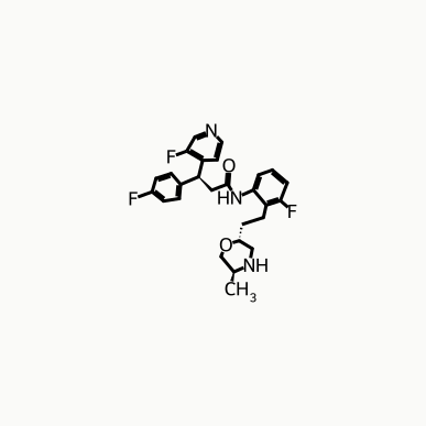 C[C@H]1CO[C@H](CCc2c(F)cccc2NC(=O)C[C@@H](c2ccc(F)cc2)c2ccncc2F)CN1